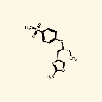 CC[C@H](C[C@H]1COC(N)=N1)Oc1ccc(S(C)(=O)=O)cc1